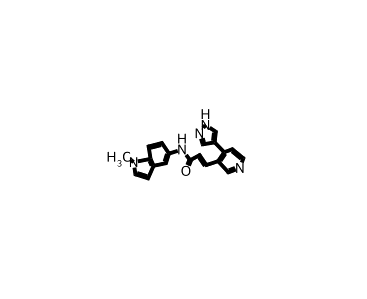 Cn1ccc2cc(NC(=O)C=Cc3cnccc3-c3cn[nH]c3)ccc21